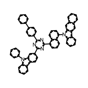 c1ccc(-c2ccc(-c3nc(-c4ccc5c6ccccc6n(-c6ccccc6)c5c4)nc(-c4cccc5c(-n6c7ccccc7c7cc8ccccc8cc76)cccc45)n3)cc2)cc1